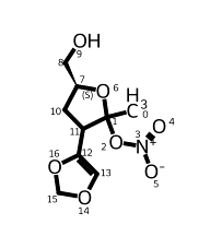 CC1(O[N+](=O)[O-])O[C@H](CO)CC1C1=COCO1